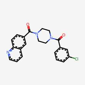 O=C(c1cccc(Cl)c1)N1CCN(C(=O)c2ccc3ncccc3c2)CC1